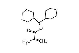 C=C(C)C(=O)OC(C1CCCCC1)C1CCCCC1